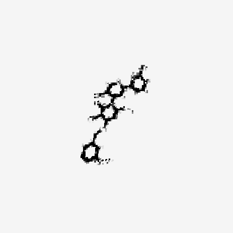 COc1cccc(COc2cc(C)n(-c3cc(-c4ccnc(C(C)C)n4)ncc3Cl)c(=O)c2Cl)c1